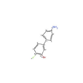 Nc1ccc(-c2ccc(F)c(Br)c2)cc1